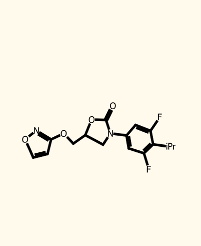 CC(C)c1c(F)cc(N2CC(COc3ccon3)OC2=O)cc1F